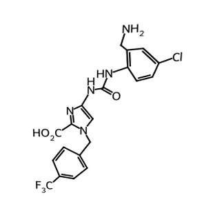 NCc1cc(Cl)ccc1NC(=O)Nc1cn(Cc2ccc(C(F)(F)F)cc2)c(C(=O)O)n1